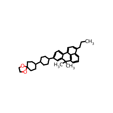 CCCc1ccc2c3c(cccc13)C(C)(C)c1cc(C3CCC(C4CCC5(CC4)OCCO5)CC3)ccc1-2